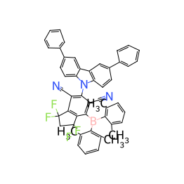 Cc1cccc(C)c1B(c1c(C)cccc1C)c1c(C#N)c(-n2c3ccc(-c4ccccc4)cc3c3cc(-c4ccccc4)ccc32)c(C#N)c2c1C(F)(F)CC2(F)F